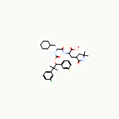 COC(=O)C(CC1CC(C)(C)NC1=O)NC(=O)[C@H](CC1CCCCC1)NC(=O)OC(c1cccc(F)c1)C(C)(C)c1cccc(Cl)c1